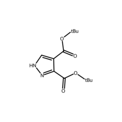 CC(C)(C)OC(=O)c1c[nH]nc1C(=O)OC(C)(C)C